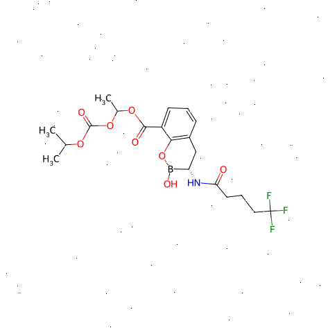 CC(C)OC(=O)OC(C)OC(=O)c1cccc2c1OB(O)[C@@H](NC(=O)CCCC(F)(F)F)C2